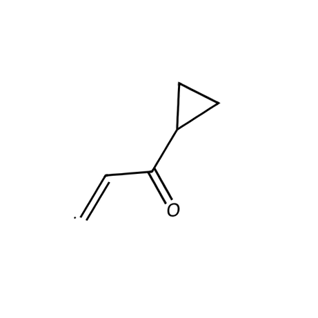 [CH]=CC(=O)C1CC1